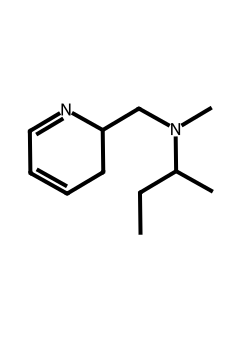 CCC(C)N(C)CC1CC=CC=N1